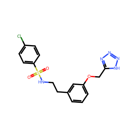 O=S(=O)(NCCc1cccc(OCc2nnn[nH]2)c1)c1ccc(Cl)cc1